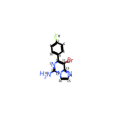 Nc1nc(-c2ccc(F)cc2)c(Br)c2nccn12